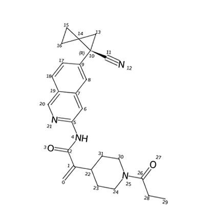 C=C(C(=O)Nc1cc2cc([C@@]3(C#N)CC34CC4)ccc2cn1)C1CCN(C(=O)CC)CC1